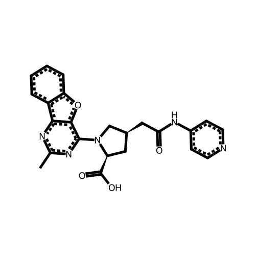 Cc1nc(N2C[C@@H](CC(=O)Nc3ccncc3)C[C@H]2C(=O)O)c2oc3ccccc3c2n1